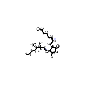 CCCCC(O)C(F)(F)/C=C/[C@H]1C(C)=CC(=O)[C@@H]1C/C=C\CCCC=O